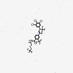 CC(CSCC(C)(F)F)NC(=O)c1ccc(/C(F)=C/C(c2cc(Cl)c(Cl)c(Cl)c2)C(F)(F)F)cc1C(F)(F)F